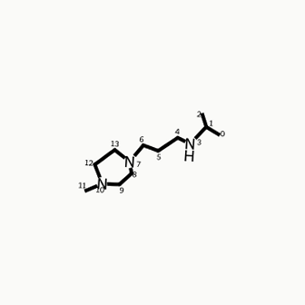 CC(C)NCCCN1CCN(C)CC1